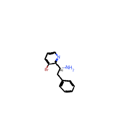 N[C@H](Cc1ccccc1)c1ncccc1Br